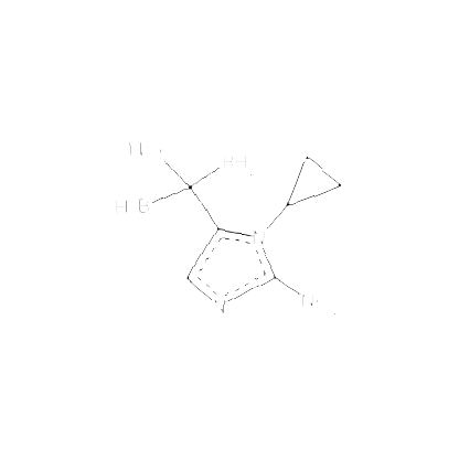 BC(B)(O)c1cnc([N+](=O)[O-])n1C1CC1